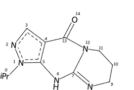 CC(C)n1ncc2c1NC1=NCCCN1C2=O